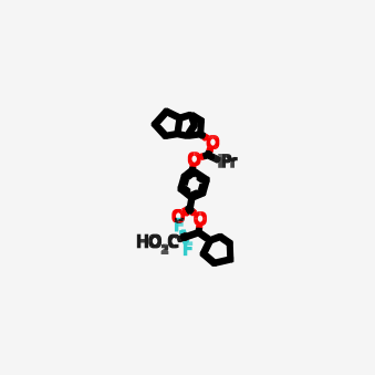 CC(C)C(Oc1ccc(C(=O)OC(C2CCCCC2)C(F)(F)C(=O)O)cc1)OC1CC2CC1C1CCCC21